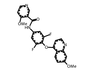 COc1ccc2c(Oc3c(F)cc(NC(=O)c4cnccc4OC)cc3F)ccnc2c1